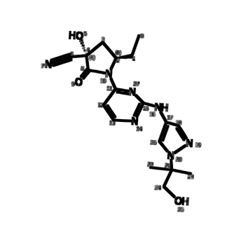 CC[C@@H]1C[C@](O)(C#N)C(=O)N1c1ccnc(Nc2cnn(C(C)(C)CO)c2)n1